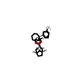 COc1cc(N2C[C@H]3CC[C@@H](C2)[C@@H]3Nc2nc3n(n2)CCCC[C@H]3c2cccc(C(F)(F)F)c2)ccn1